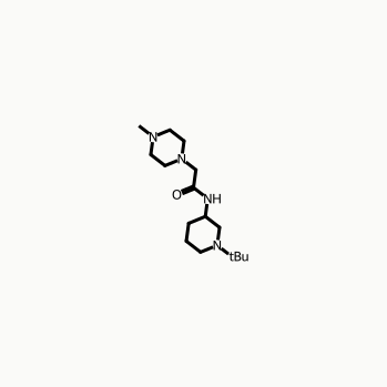 CN1CCN(CC(=O)NC2CCCN(C(C)(C)C)C2)CC1